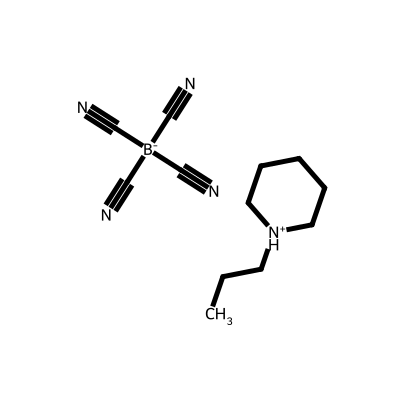 CCC[NH+]1CCCCC1.N#C[B-](C#N)(C#N)C#N